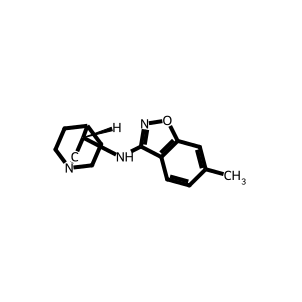 Cc1ccc2c(N[C@@H]3CN4CCC3CC4)noc2c1